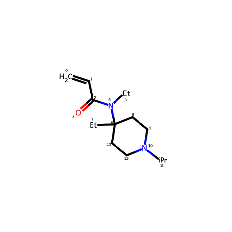 C=CC(=O)N(CC)C1(CC)CCN(C(C)C)CC1